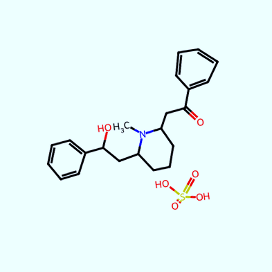 CN1C(CC(=O)c2ccccc2)CCCC1CC(O)c1ccccc1.O=S(=O)(O)O